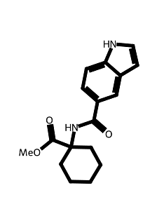 COC(=O)C1(NC(=O)c2ccc3[nH]ccc3c2)CCCCC1